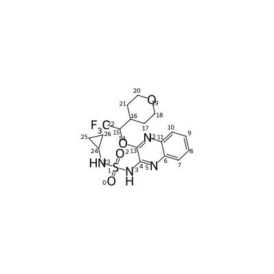 O=S(=O)(Nc1nc2ccccc2nc1OC(C1CCOCC1)C(F)(F)F)NC1CC1